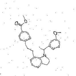 COC(=O)c1ccc(CCc2cccc3c2N(C(C)c2cccc(OC)c2)CC3)cc1